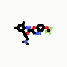 Cc1cc(C)c(NC(=O)C2CNc3cc(OC(F)(F)F)ccc3O2)c(C#CCN(C)C)c1